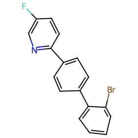 Fc1ccc(-c2ccc(-c3ccccc3Br)cc2)nc1